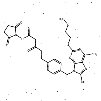 COCCOc1nc(N)c2nc(O)n(Cc3ccc(CCC(=O)CC(=O)ON4C(=O)CCC4=O)cc3)c2n1